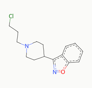 ClCCCN1CCC(c2noc3ccccc23)CC1